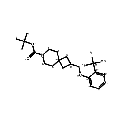 CC(C)(C)OC(=O)N1CCC2(CC1)CC(COc1cccnc1C(F)(F)F)C2